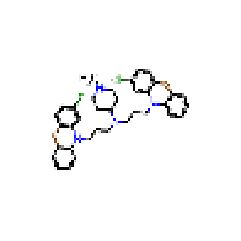 CN1CCC(N(CCCN2c3ccccc3Sc3ccc(Cl)cc32)CCCN2c3cc(Cl)ccc3SC3C=CC=CC32)CC1